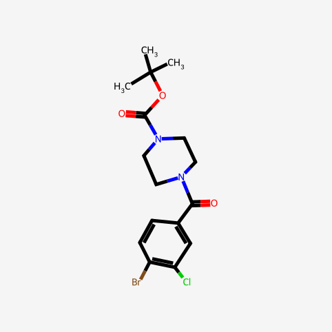 CC(C)(C)OC(=O)N1CCN(C(=O)c2ccc(Br)c(Cl)c2)CC1